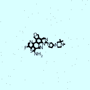 CN1CCN([C@@H]2CCN(c3ncc4c5c(c(-c6ncc(F)c7sc(N)c(C#N)c67)c(F)c4n3)COC5)C2)CC1(C)C